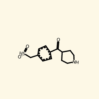 O=C(c1ccc(C[SH](=O)=O)cc1)C1CCNCC1